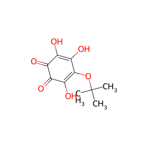 CC(C)(C)OC1=C(O)C(=O)C(=O)C(O)=C1O